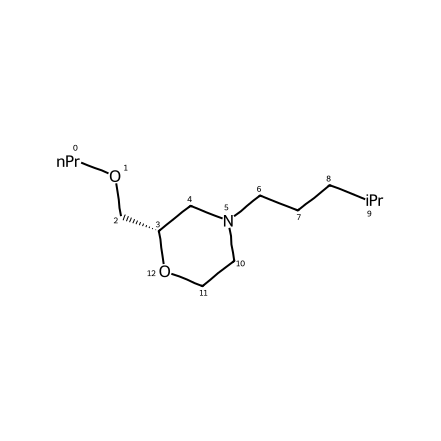 CCCOC[C@@H]1CN(CCCC(C)C)CCO1